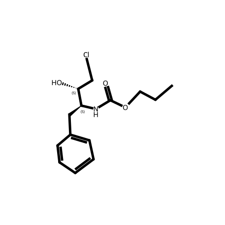 CCCOC(=O)N[C@@H](Cc1ccccc1)[C@H](O)CCl